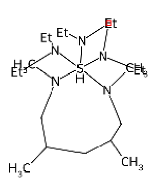 CCN(CC)[SH]1(N(CC)CC)(N(CC)CC)N(C)CC(C)CC(C)CN1C